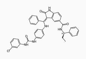 CC[C@@H](NC(=O)c1ccc2c(c1)C(=C(Nc1ccc(NC(=O)Nc3cccc(Cl)c3)cc1)c1ccccc1)C(=O)N2)c1ccccc1